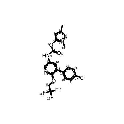 Cc1cc(OC(=O)Nc2cnc(OCC(F)(F)F)c(-c3ccc(Cl)cc3)c2)n(C)n1